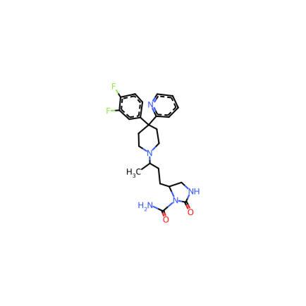 CC(CCC1CNC(=O)N1C(N)=O)N1CCC(c2ccc(F)c(F)c2)(c2ccccn2)CC1